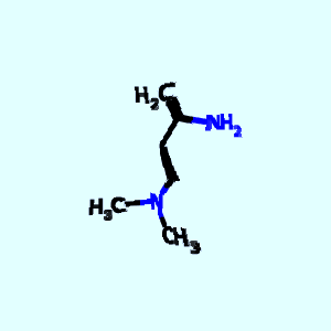 C=C(N)C=CN(C)C